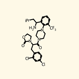 CC(C)CC(N)c1cccc(C(F)(F)F)c1N1CCN(C(=O)C(Cc2ccc(Cl)cc2Cl)N2CCOC2=O)CC1